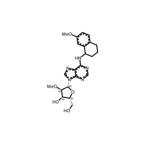 COc1ccc2c(c1)C(Nc1ncnc3c1ncn3[C@@H]1O[C@H](CO)[C@@H](O)[C@H]1OC)CCC2